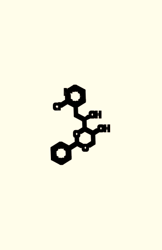 OC1COC(c2ccccc2)OC1[C@H](O)Cc1cccnc1Cl